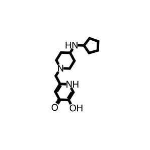 O=c1cc(CN2CCC(NC3CCCC3)CC2)[nH]cc1O